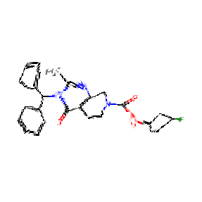 Cc1nc2c(c(=O)n1C(c1ccccc1)c1ccccc1)CCN(C(=O)OC1CC(F)C1)C2